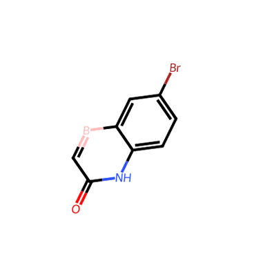 O=c1cbc2cc(Br)ccc2[nH]1